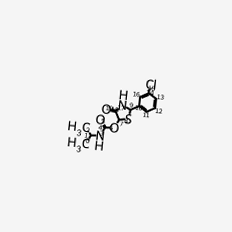 CC(C)NC(=O)OC1SC(c2cccc(Cl)c2)NC1=O